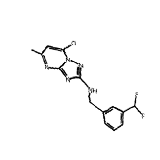 Cc1cc(Cl)n2nc(NCc3cccc(C(F)F)c3)nc2n1